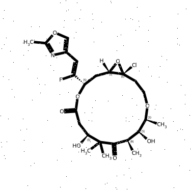 Cc1nc(C=C(F)[C@@H]2C[C@@H]3O[C@]3(Cl)CCO[C@@H](C)[C@@H](O)[C@@H](C)C(=O)C(C)(C)[C@@H](O)CC(=O)O2)co1